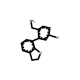 NCc1ccc(Cl)cc1-c1cccc2c1O[CH]C2